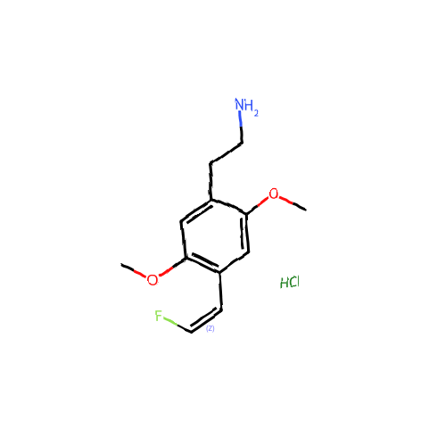 COc1cc(CCN)c(OC)cc1/C=C\F.Cl